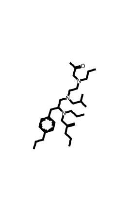 C=C(CCC)CN(CCC)C(Cc1ccc(CCC)cc1)CN(CCN(CCC)CC(C)=O)CC(C)C